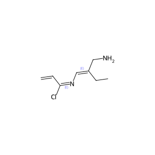 C=C/C(Cl)=N\C=C(/CC)CN